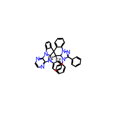 CCC1(CC)C2N(N=C(c3ccccc3)N2c2ccccc2)c2ccccc2C12c1ccccc1N1c3nccnc3N(c3ccccc3)C12